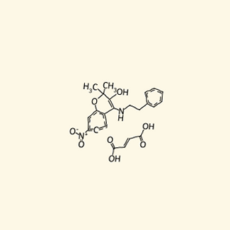 CC1(C)Oc2cc([N+](=O)[O-])ccc2C(NCCc2ccccc2)=C1O.O=C(O)C=CC(=O)O